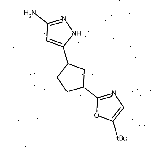 CC(C)(C)c1cnc(C2CCC(c3cc(N)n[nH]3)C2)o1